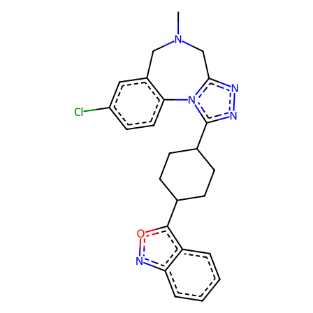 CN1Cc2cc(Cl)ccc2-n2c(nnc2C2CCC(c3onc4ccccc34)CC2)C1